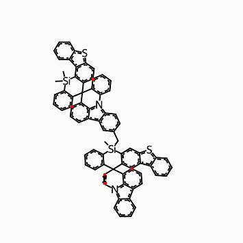 C[Si]1(C)c2ccccc2C2(c3ccccc3-n3c4ccc(C[Si]5(C)c6ccccc6C6(c7ccccc7-n7c8ccccc8c8cccc6c87)c6cc7c(cc65)sc5ccccc57)cc4c4cccc2c43)c2ccc3sc4ccccc4c3c21